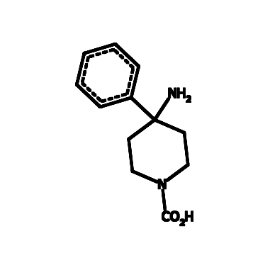 NC1(c2ccccc2)CCN(C(=O)O)CC1